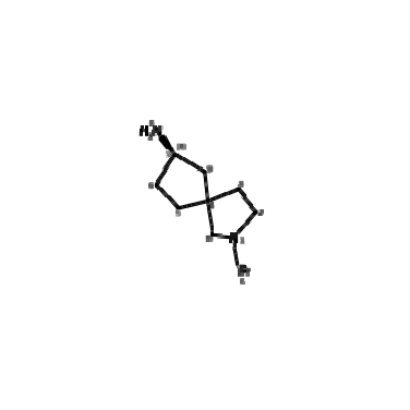 CC(C)N1CCC2(CC[C@@H](N)C2)C1